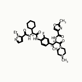 CCn1nccc1C(=O)N[C@H](C(=O)Nc1ccc([C@H](C)[C@@H](NC(=O)c2coc(C)n2)C(=O)N2CCN(C)CC2)cc1F)C1CCCCC1